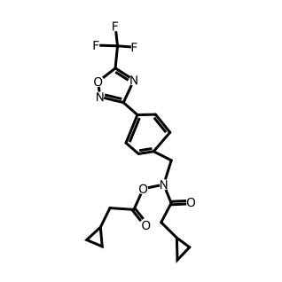 O=C(CC1CC1)ON(Cc1ccc(-c2noc(C(F)(F)F)n2)cc1)C(=O)CC1CC1